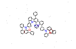 Nc1c(-c2cc(-c3ccccc3)c3c4cccc5c6cc(N(c7ccccc7-c7ccccc7)c7cccc8c7oc7ccccc78)ccc6n(c3c2-c2ccccc2)c54)cccc1C1C=CC=C(N(c2ccccc2-c2ccccc2)c2cccc3c2oc2ccccc23)C1